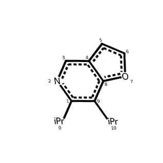 CC(C)c1ncc2ccoc2c1C(C)C